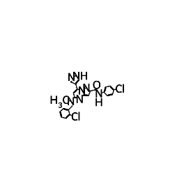 CN(Cc1ccccc1Cl)c1cc(-c2cn[nH]c2)n2nc(C(=O)Nc3ccc(Cl)cc3)cc2n1